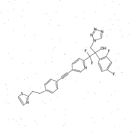 OC(Cn1cnnn1)(c1ccc(F)cc1F)C(F)(F)c1ccc(C#Cc2ccc(CCc3nccs3)cc2)cn1